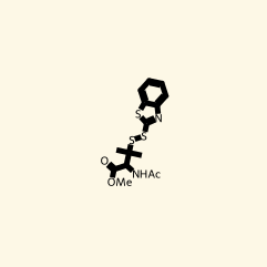 COC(=O)C(NC(C)=O)C(C)(C)SSc1nc2ccccc2s1